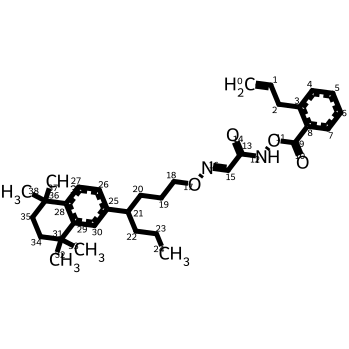 C=CCc1ccccc1C(=O)ONC(=O)C=NOCCCC(CCC)c1ccc2c(c1)C(C)(C)CCC2(C)C